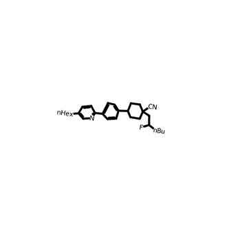 CCCCCCc1ccc(-c2ccc(C3CCC(C#N)(CC(F)CCCC)CC3)cc2)nc1